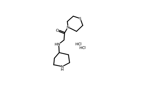 Cl.Cl.O=C(CNC1CCNCC1)N1CCSCC1